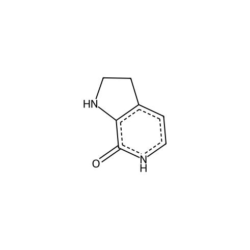 O=c1[nH]ccc2c1NCC2